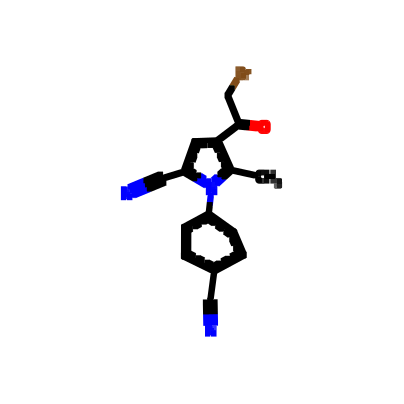 Cc1c(C(=O)CBr)cc(C#N)n1-c1ccc(C#N)cc1